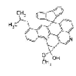 COC1(O)C2c3cnc4cccc5c4c3-c3c(cc4c(CC(C)C)cccc4[n+]3C21)C51c2ccccc2-c2ccccc21